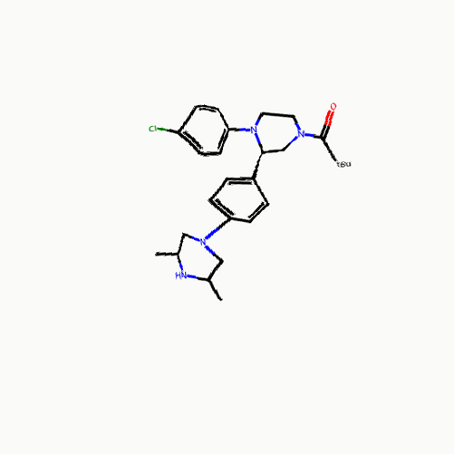 CC1CN(c2ccc([C@@H]3CN(C(=O)C(C)(C)C)CCN3c3ccc(Cl)cc3)cc2)CC(C)N1